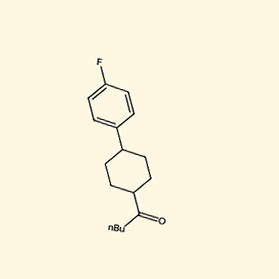 CCCCC(=O)C1CCC(c2ccc(F)cc2)CC1